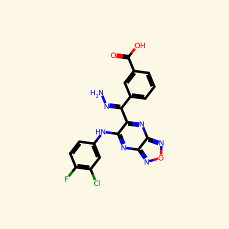 NN=C(c1cccc(C(=O)O)c1)c1nc2nonc2nc1Nc1ccc(F)c(Cl)c1